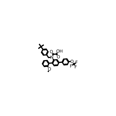 COc1ccccc1-c1ccc(-c2ccc(OC(F)(F)F)cc2)cc1N(Cc1ccc(C(C)(C)C)cc1)C(=O)C(=O)O